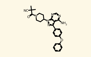 CC(C)(C#N)C(=O)N1CCC(n2nc(-c3ccc(Oc4ccccc4)cc3)c3c(N)ncnc32)CC1